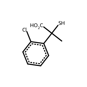 CC(S)(C(=O)O)c1ccccc1Cl